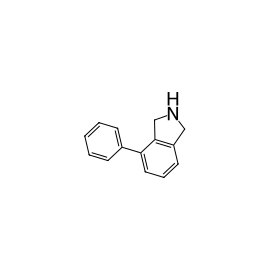 c1ccc(-c2cccc3c2CNC3)cc1